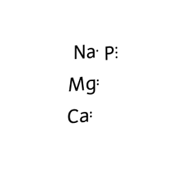 [Ca].[Mg].[Na].[P]